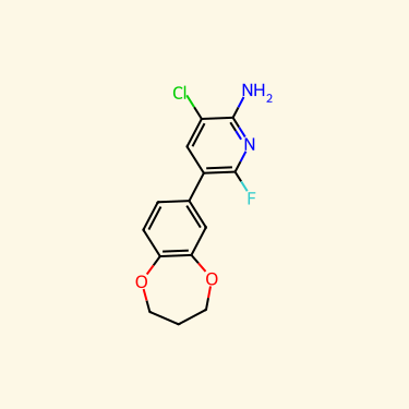 Nc1nc(F)c(-c2ccc3c(c2)OCCCO3)cc1Cl